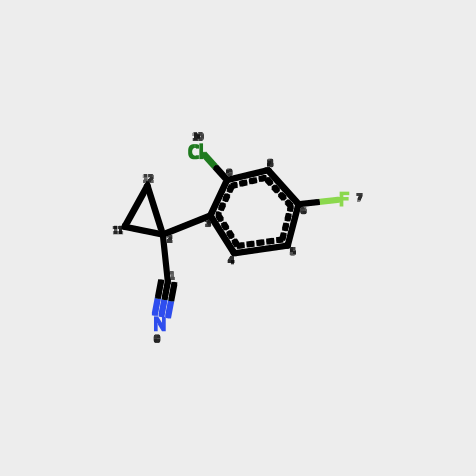 N#CC1(c2ccc(F)cc2Cl)CC1